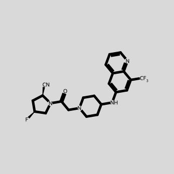 N#C[C@@H]1C[C@H](F)CN1C(=O)CN1CCC(Nc2cc(C(F)(F)F)c3ncccc3c2)CC1